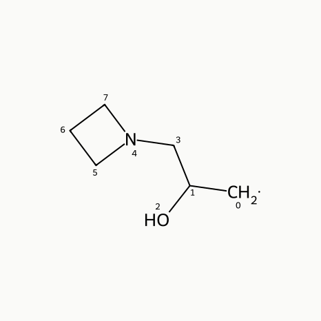 [CH2]C(O)CN1CCC1